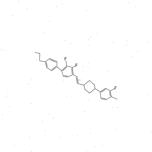 CCCc1ccc(-c2ccc(/C=C/C3CCC(c4ccc(C)c(F)c4)CC3)c(F)c2F)cc1